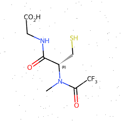 CN(C(=O)C(F)(F)F)[C@@H](CS)C(=O)NCC(=O)O